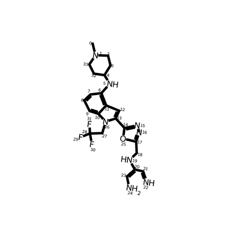 CN1CCC(Nc2cccc3c2cc(-c2nnc(CN/C(C=N)=C/N)o2)n3CC(F)(F)F)CC1